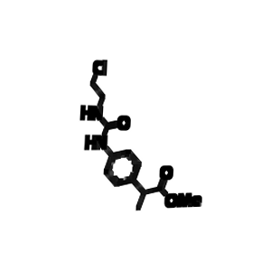 COC(=O)C(C)c1ccc(NC(=O)NCCCl)cc1